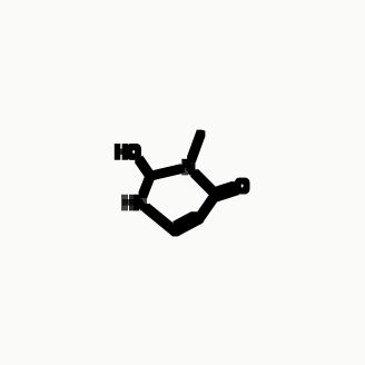 CN1C(=O)C=CNC1O